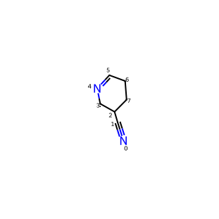 N#CC1[CH]N=CCC1